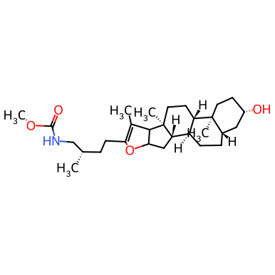 COC(=O)NC[C@@H](C)CCC1=C(C)C2C(C[C@H]3[C@@H]4CC[C@H]5C[C@@H](O)CC[C@]5(C)[C@H]4CC[C@]23C)O1